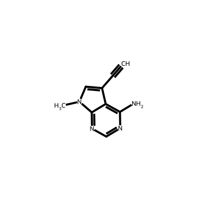 C#Cc1cn(C)c2ncnc(N)c12